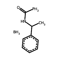 B.CC(NC(=O)P)c1ccccc1